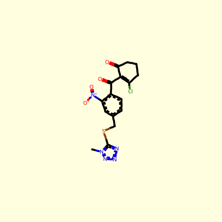 Cn1nnnc1SCc1ccc(C(=O)C2=C(Cl)CCCC2=O)c([N+](=O)[O-])c1